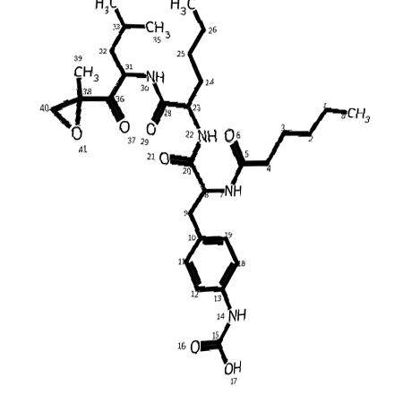 CCCCCC(=O)NC(Cc1ccc(NC(=O)O)cc1)C(=O)NC(CCCC)C(=O)NC(CC(C)C)C(=O)C1(C)CO1